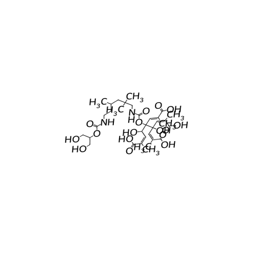 CC(=CC(O)C(C=C(C)C(=O)O)(OC(=O)NCC(C)(C)CC(C)CCNC(=O)OC(CO)CO)C(O)(C=C(C)C(=O)O)C=C(C)C(=O)O)C(=O)O